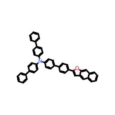 c1ccc(-c2ccc(N(c3ccc(-c4ccccc4)cc3)c3ccc(-c4ccc(-c5cc6cc7ccccc7cc6o5)cc4)cc3)cc2)cc1